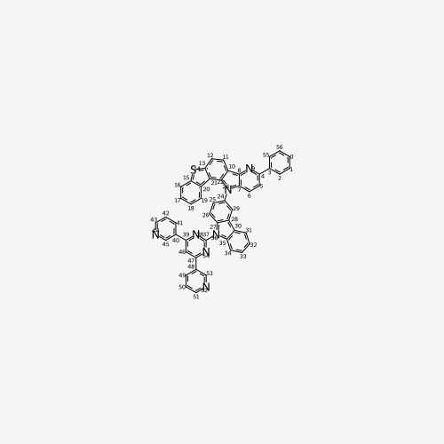 c1ccc(-c2ccc3c(n2)c2ccc4sc5ccccc5c4c2n3-c2ccc3c(c2)c2ccccc2n3-c2nc(-c3cccnc3)cc(-c3cccnc3)n2)cc1